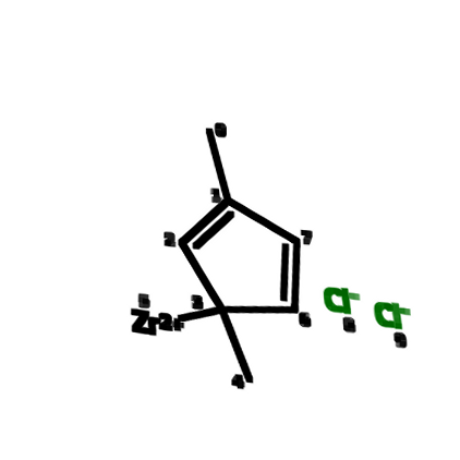 CC1=C[C](C)([Zr+2])C=C1.[Cl-].[Cl-]